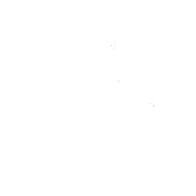 O=C1CNCC2CCNc3ccc(-c4ccc(F)cc4)cc3N12